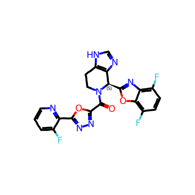 O=C(c1nnc(-c2ncccc2F)o1)N1CCc2[nH]cnc2[C@H]1c1nc2c(F)ccc(F)c2o1